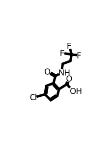 O=C(O)c1ccc(Cl)cc1C(=O)NCCC(F)(F)F